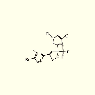 Cc1cc(C2=CC(c3cc(Cl)cc(Cl)c3)(C(F)(F)F)OC2)ncc1Br